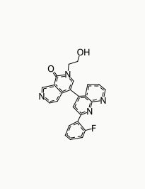 O=c1c2cnccc2c(-c2cc(-c3ccccc3F)nc3ncccc23)cn1CCO